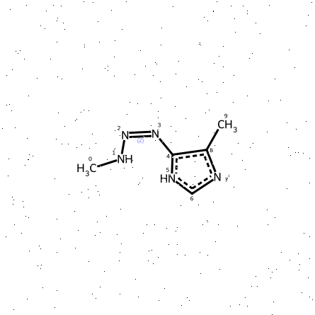 CN/N=N\c1[nH]cnc1C